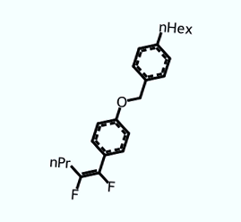 CCCCCCc1ccc(COc2ccc(/C(F)=C(/F)CCC)cc2)cc1